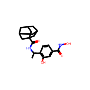 CC(NC(=O)C12CC3CC(CC(C3)C1)C2)c1ccc(C(=O)NO)cc1O